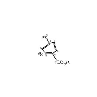 CC(C)c1ccc(C(=O)O)cc1.[K]